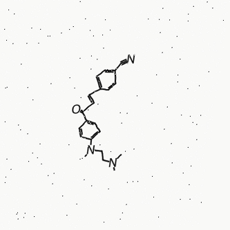 CN(C)CCN(C)c1ccc(C(=O)C=Cc2ccc(C#N)cc2)cc1